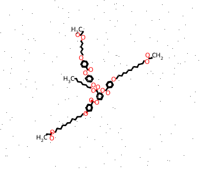 C=CC(=O)OCCCCCCCCCCCCOc1ccc(C(=O)Oc2ccc(OC(=O)c3ccc(OCCCCCCCCCCCCOC(=O)C=C)cc3)c(C(=O)OC(CCCCCCC)Oc3ccc(OC(=O)c4ccc(OCCCCCCOC(=O)C=C)cc4)cc3)c2)cc1